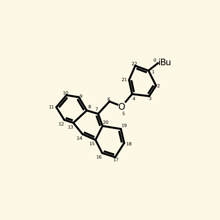 CCC(C)c1ccc(OCc2c3ccccc3cc3ccccc23)cc1